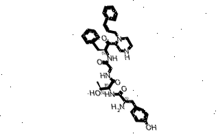 C[C@H](O)[C@@H](NC(=O)[C@@H](N)Cc1ccc(O)cc1)C(=O)NCC(=O)N[C@@H](Cc1ccccc1)C(=O)C1CNCCN1CC=Cc1ccccc1